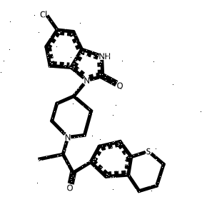 CC(C(=O)c1ccc2c(c1)CCCS2)N1CCC(n2c(=O)[nH]c3cc(Cl)ccc32)CC1